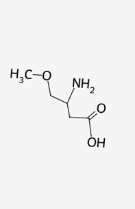 COCC(N)CC(=O)O